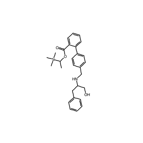 CC(OC(=O)c1ccccc1-c1ccc(CNC(CO)Cc2ccccc2)cc1)[Si](C)(C)C